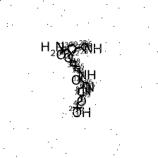 CC(C)(O)COc1ccc2c(C(=O)NC3CC4(C3)CC(Oc3cc(C5CCNC5)ccc3C(N)=O)C4)cnn2c1